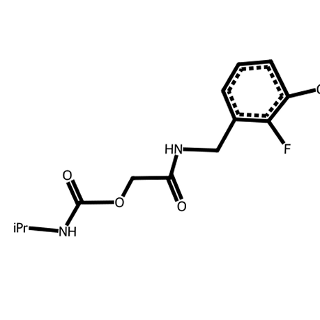 CC(C)NC(=O)OCC(=O)NCc1cccc(Cl)c1F